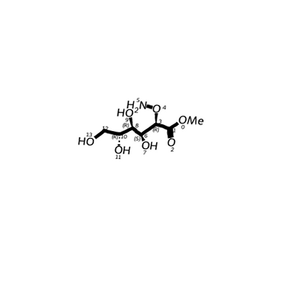 COC(=O)[C@H](ON)[C@@H](O)[C@H](O)[C@H](O)CO